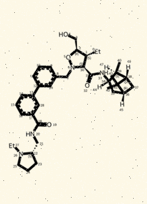 CC[C@@H]1[C@H](CO)ON(Cc2cccc(-c3cccc(C(=O)NC[C@@H]4CCCN4CC)c3)c2)[C@@H]1C(=O)N[C@H]1C[C@H]2C[C@@H]([C@@H]1C)C2(C)C